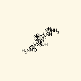 C[C@@H]1[C@H](C)[C@@H](COP(=O)(O)O[C@H]2C[C@H](n3ccc(N)nc3=O)O[C@@H]2COP(=O)(O)O)O[C@H]1n1cnc2c(N)ncnc21